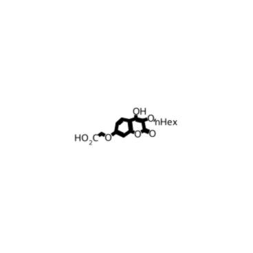 CCCCCCOc1c(O)c2ccc(OCC(=O)O)cc2oc1=O